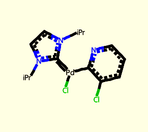 CC(C)n1ccn(C(C)C)[c]1=[Pd]([Cl])[c]1ncccc1Cl